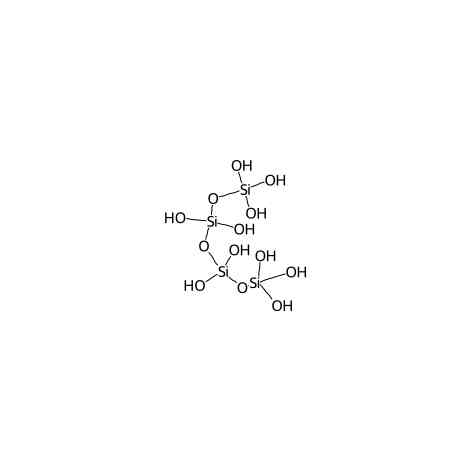 O[Si](O)(O)O[Si](O)(O)O[Si](O)(O)O[Si](O)(O)O